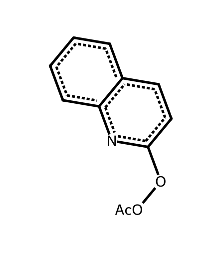 CC(=O)OOc1ccc2ccccc2n1